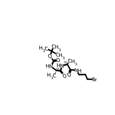 C[C@H](NC(=O)OC(C)(C)C)C(=O)N[C@@H](C)C(=O)NCCCBr